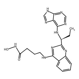 CC[C@H](Nc1ncnc2[nH]cnc12)c1nc(NCCCC(=O)NO)c2ccccc2n1